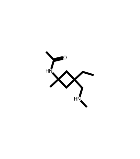 CCC1(CNC)CC(C)(NC(C)=O)C1